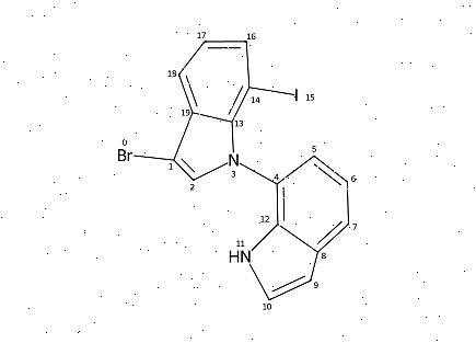 Brc1cn(-c2cccc3cc[nH]c23)c2c(I)cccc12